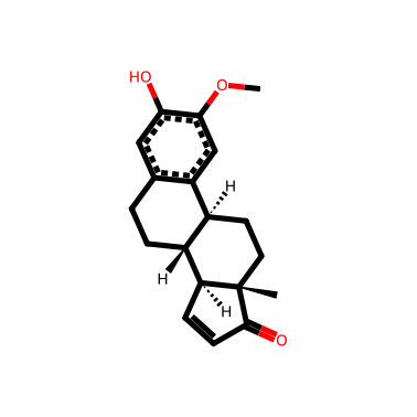 COc1cc2c(cc1O)CC[C@@H]1[C@@H]2CC[C@]2(C)C(=O)C=C[C@@H]12